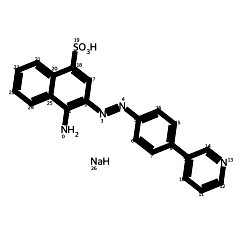 Nc1c(/N=N/c2ccc(-c3cccnc3)cc2)cc(S(=O)(=O)O)c2ccccc12.[NaH]